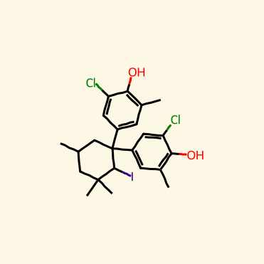 Cc1cc(C2(c3cc(C)c(O)c(Cl)c3)CC(C)CC(C)(C)C2I)cc(Cl)c1O